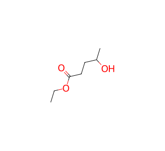 CCOC(=O)CCC(C)O